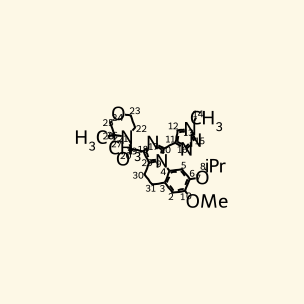 COc1cc2c(cc1OC(C)C)-n1c(-c3cn(C)nn3)nc(C(=O)N3CCOCC3(C)C)c1CC2